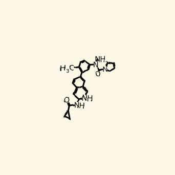 Cc1ccc(N(N)C(=O)N2CCCC2)cc1-c1ccc2c(c1)=CNC(NC(=O)C1CC1)C=2